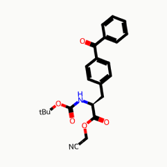 CC(C)(C)OC(=O)N[C@@H](Cc1ccc(C(=O)c2ccccc2)cc1)C(=O)OCC#N